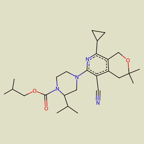 CC(C)COC(=O)N1CCN(c2nc(C3CC3)c3c(c2C#N)CC(C)(C)OC3)CC1C(C)C